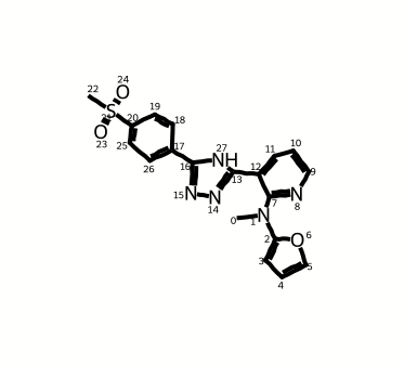 CN(c1ccco1)c1ncccc1-c1nnc(-c2ccc(S(C)(=O)=O)cc2)[nH]1